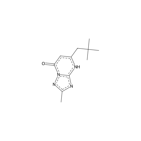 Cc1nc2[nH]c(CC(C)(C)C)cc(=O)n2n1